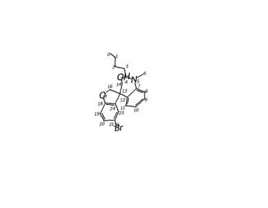 CCCCCN(C)c1ccccc1C1(CO)COc2ccc(Br)cc21